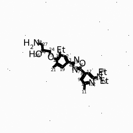 CCc1cc(-c2noc(-c3cc(C)nc(N(CC)CC)c3)n2)cc(C)c1OC[C@H](O)CN